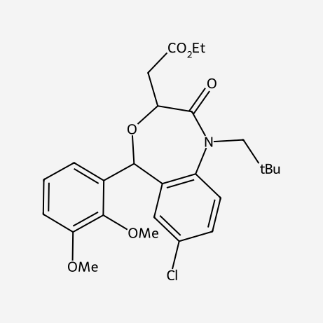 CCOC(=O)CC1OC(c2cccc(OC)c2OC)c2cc(Cl)ccc2N(CC(C)(C)C)C1=O